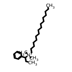 CCCCCCCCCCCCCCCC[N+](C)(C)C(CC)c1ccccc1